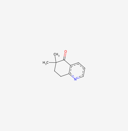 CC1(C)CCc2ncccc2C1=O